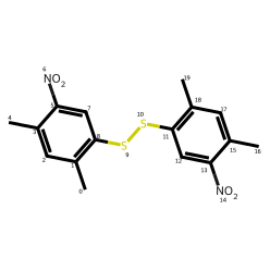 Cc1cc(C)c([N+](=O)[O-])cc1SSc1cc([N+](=O)[O-])c(C)cc1C